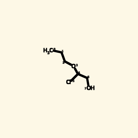 CCCOC(Cl)CO